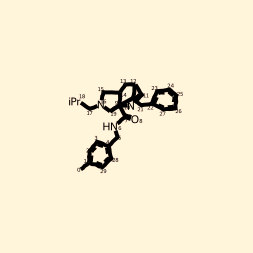 Cc1ccc(CNC(=O)C23N=CC4CC2CN(CC(C)C)C3C4Cc2ccccc2)cc1